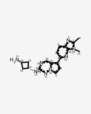 Cc1nc2ccc(-c3ccn4nc(N[C@H]5C[C@H](N)C5)ncc34)nc2n1C